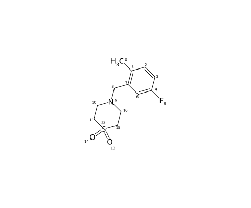 Cc1ccc(F)cc1CN1CCS(=O)(=O)CC1